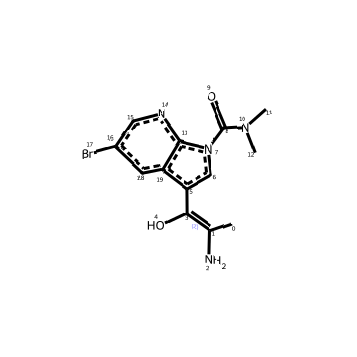 C/C(N)=C(/O)c1cn(C(=O)N(C)C)c2ncc(Br)cc12